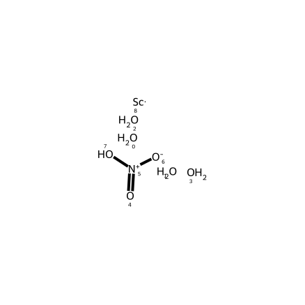 O.O.O.O.O=[N+]([O-])O.[Sc]